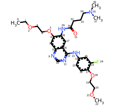 CCOCCOc1cc2ncnc(Nc3ccc(OCCOC)c(F)c3)c2cc1NC(=O)CCCN(C)C